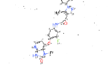 Cc1c(C2OC2Nc2ccc(Oc3ccnc4[nH]c(=O)n(C(C)C)c34)c(F)c2)cnn1-c1ccccc1